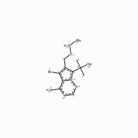 CC(C)(C)[SiH2]OCc1c(Br)c2c(N)ncnn2c1C(C)(C)O